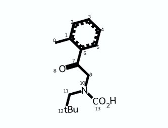 Cc1ccccc1C(=O)CN(CC(C)(C)C)C(=O)O